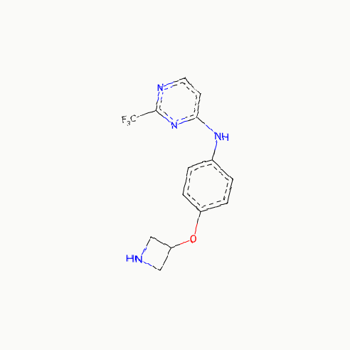 FC(F)(F)c1nccc(Nc2ccc(OC3CNC3)cc2)n1